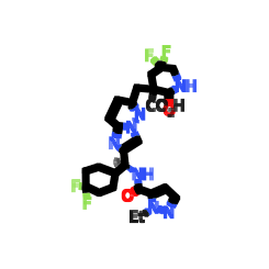 CCn1nccc1C(=O)N[C@H](c1cn2nc(CC3(C(=O)O)CC(F)(F)CNC3=O)ccc2n1)C1CCC(F)(F)CC1